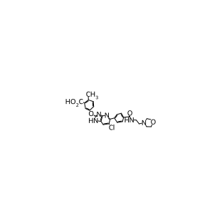 Cc1ccc(Oc2nc3nc(-c4ccc(C(=O)NCCN5CCOCC5)cc4)c(Cl)cc3[nH]2)cc1C(=O)O